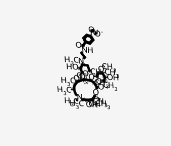 CC[C@H]1OC(=O)[C@H](C)[C@@H](O[C@H]2C[C@@](C)(OC)[C@@H](O)[C@H](C)O2)[C@H](I)[C@@H](O[C@@H]2O[C@H](C)C[C@H](N(C)CCNC(=O)c3ccc([N+](=O)[O-])cc3)[C@H]2O)[C@](C)(O)C[C@@H](C)CN(C)[C@H](C)[C@@H](O)[C@]1(C)O